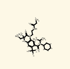 CCC(=O)NCCN1C(=O)C(C)(CO)Oc2cc(C(F)(F)F)c(C(=O)N(C(C)C)C3CCCCC3)cc21